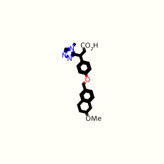 COC1CCc2cc(COc3ccc(C(CC(=O)O)c4nncn4C)cc3)ccc2C1